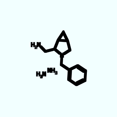 N.N.NCC1C2CC2CN1Cc1ccccc1